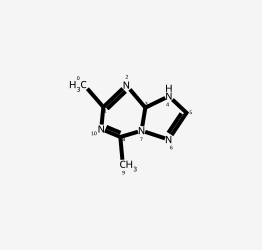 CC1=NC2NC=NN2C(C)=N1